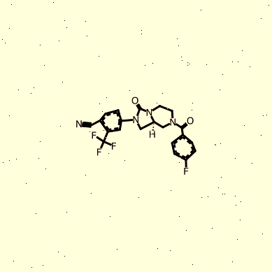 N#Cc1ccc(N2C[C@@H]3CN(C(=O)c4ccc(F)cc4)CCN3C2=O)cc1C(F)(F)F